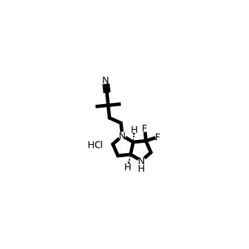 CC(C)(C#N)CCN1CC[C@@H]2NCC(F)(F)[C@@H]21.Cl